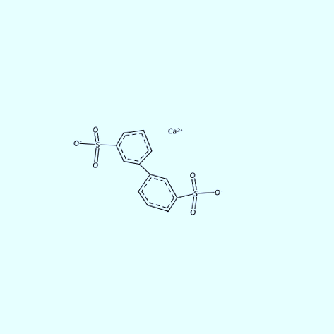 O=S(=O)([O-])c1cccc(-c2cccc(S(=O)(=O)[O-])c2)c1.[Ca+2]